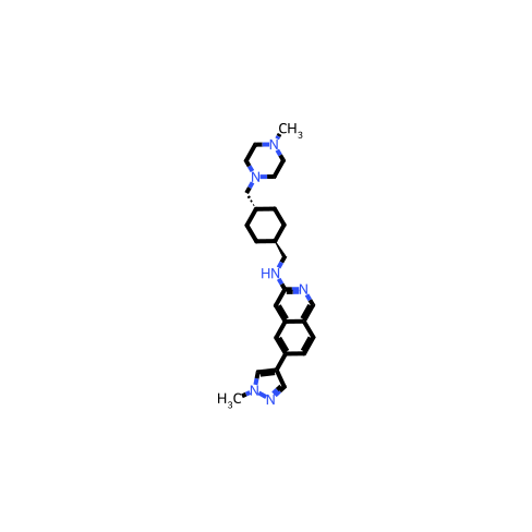 CN1CCN(C[C@H]2CC[C@H](CNc3cc4cc(-c5cnn(C)c5)ccc4cn3)CC2)CC1